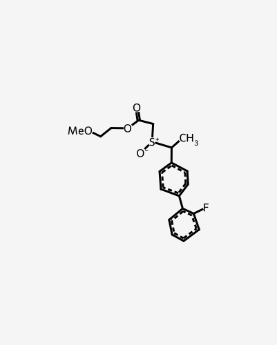 COCCOC(=O)C[S+]([O-])C(C)c1ccc(-c2ccccc2F)cc1